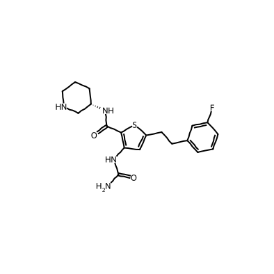 NC(=O)Nc1cc(CCc2cccc(F)c2)sc1C(=O)N[C@H]1CCCNC1